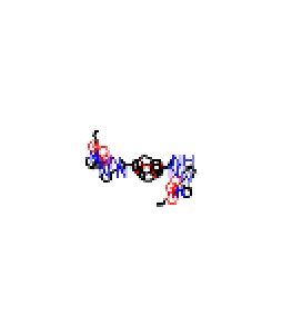 C=CCOC(=O)N1CCC[C@H]1C(=O)N1CCCC1c1nc(-c2ccc(-c3cc4ccc3CCc3ccc(c(-c5ccc(-c6c[nH]c([C@@H]7CCCN7C(=O)[C@@H]7CCCN7C(=O)OCC=C)n6)cc5)c3)CC4)cc2)c[nH]1